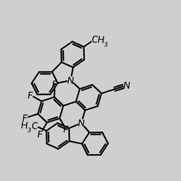 Cc1ccc2c3ccccc3n(-c3cc(C#N)cc(-n4c5ccccc5c5ccc(C)cc54)c3-c3c(F)c(F)c(F)c(F)c3F)c2c1